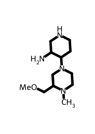 COCC1CN(C2CCNCC2N)CCN1C